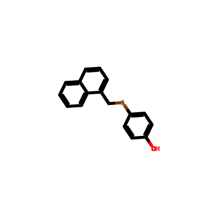 Oc1ccc(SCc2cccc3ccccc23)cc1